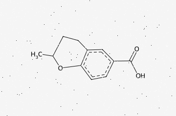 CC1CCc2cc(C(=O)O)ccc2O1